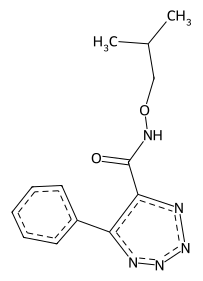 CC(C)CONC(=O)c1nnnnc1-c1ccccc1